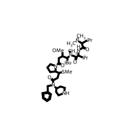 CCC(C)C(C(CC(=O)N1CCCC1C(CC(=O)N(Cc1ccccc1)C1CCNCC1)SC)OC)N(C)C(=O)C(NC(=O)C(C(C)C)N(C)C)C(C)C